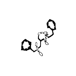 N#CCC(CS(=O)(=O)Cc1ccccc1)S(=O)(=O)Cc1ccccc1